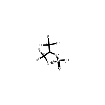 O=[As](O)(O)OC(C(F)(F)F)C(F)(F)F